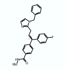 CC(C)(C)NC(=O)c1ccc(/C(=C/Cc2nccn2Cc2ccccc2)c2ccc(F)cc2)cc1